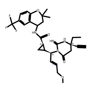 C#C[C@@]1(CC)CC(=O)N([C@@H](/C=C/COC)C2C[C@H]2C(=O)NC2CC(C)(C)Oc3ccc(C(F)(F)F)cc32)C(=N)N1